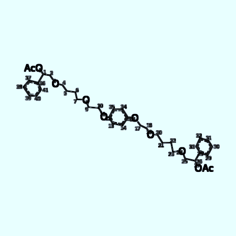 CC(=O)OC(COCCCCOCCOc1ccc(OCCOCCCCOCC(OC(C)=O)c2ccccc2)cc1)c1ccccc1